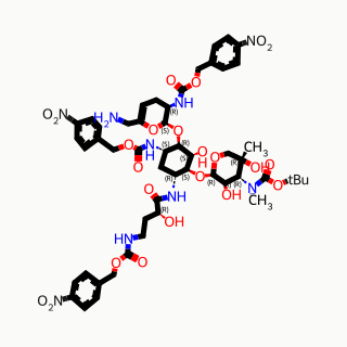 CN(C(=O)OC(C)(C)C)[C@@H]1[C@@H](O)[C@@H](O[C@@H]2[C@@H](O)[C@H](O[C@H]3OC(CN)=CC[C@H]3NC(=O)OCc3ccc([N+](=O)[O-])cc3)[C@@H](NC(=O)OCc3ccc([N+](=O)[O-])cc3)C[C@H]2NC(=O)[C@H](O)CCNC(=O)OCc2ccc([N+](=O)[O-])cc2)OC[C@]1(C)O